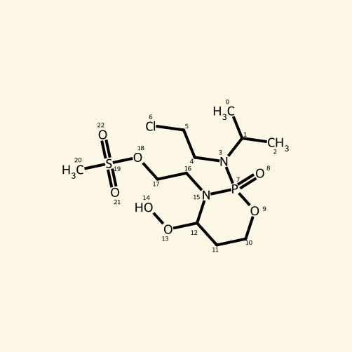 CC(C)N(CCCl)P1(=O)OCCC(OO)N1CCOS(C)(=O)=O